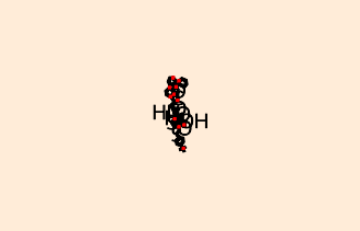 CC(C)(C)c1ccc(SCC2=C(C(=O)O)N3C(=O)C(NC(=O)CC4=CCC(OC(c5ccccc5)(c5ccccc5)c5ccccc5)=CC4)[C@@H]3SC2)cc1